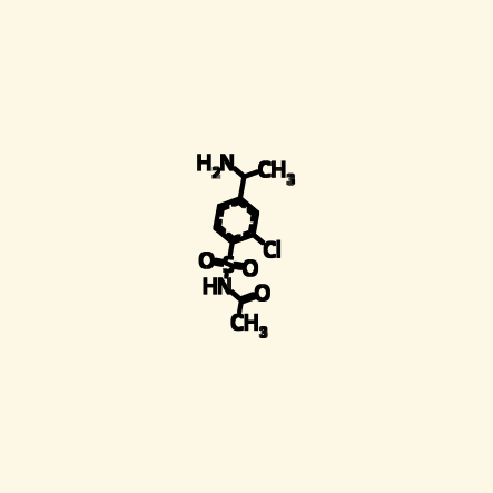 CC(=O)NS(=O)(=O)c1ccc(C(C)N)cc1Cl